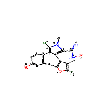 Cc1oc(F)c(C)c1-c1c(-c2ccc(O)cc2)c(Cl)n(C)c1C(=N)NO